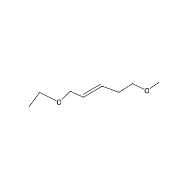 CCOCC=CCCOC